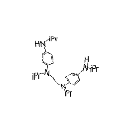 CC(C)Nc1ccc(N(CCN(c2ccc(NC(C)C)cc2)C(C)C)C(C)C)cc1